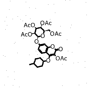 CC(=O)OC[C@H]1O[C@H](Oc2ccc3c(OC4CCC(C)CC4)c(OC(C)=O)c(=O)oc3c2)[C@@H](OC(C)=O)[C@@H](OC(C)=O)[C@@H]1OC(C)=O